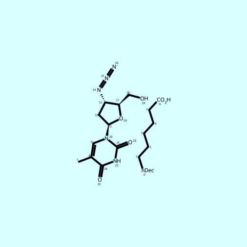 CCCCCCCCCCCCCCCC(=O)O.Cc1cn([C@H]2C[C@H](N=[N+]=[N-])[C@@H](CO)O2)c(=O)[nH]c1=O